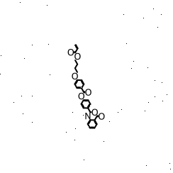 C=CC(=O)OCCCCOc1ccc(C(=O)Oc2ccc(-c3nc4ccccc4c(=O)o3)cc2)cc1